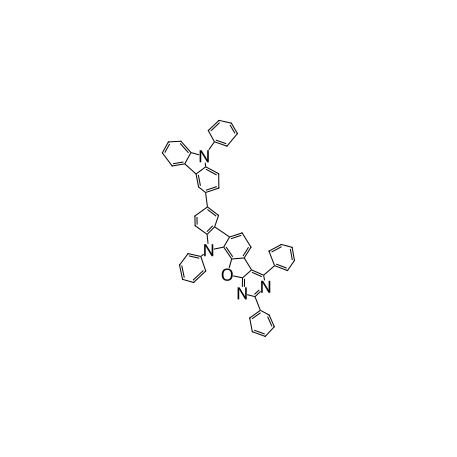 c1ccc(-c2nc(-c3ccccc3)c3c(n2)oc2c3ccc3c4cc(-c5ccc6c(c5)c5ccccc5n6-c5ccccc5)ccc4n(-c4ccccc4)c32)cc1